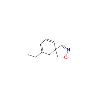 CCC1=CC=CC2([C]=NOC2)C1